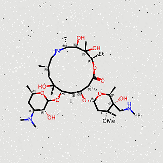 CCCNC[C@]1(O)[C@H](C)O[C@@H](O[C@H]2[C@H](C)[C@@H](OC3O[C@H](C)C[C@H](N(C)C)[C@H]3O)C(C)(O)C[C@@H](C)CN[C@H](C)[C@@H](O)[C@](C)(O)[C@@H](CC)OC(=O)[C@@H]2C)C[C@@]1(C)OC